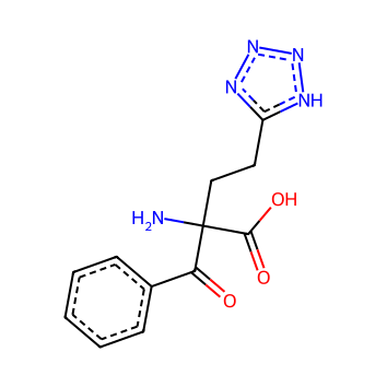 NC(CCc1nnn[nH]1)(C(=O)O)C(=O)c1ccccc1